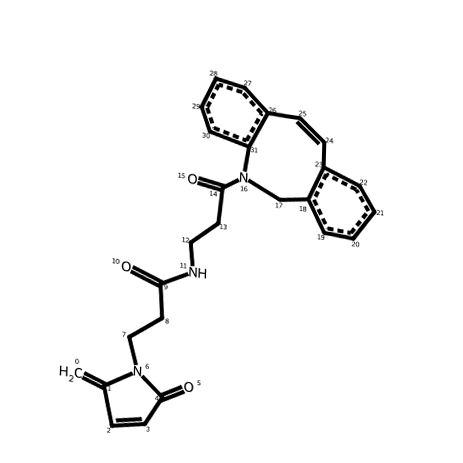 C=C1C=CC(=O)N1CCC(=O)NCCC(=O)N1Cc2ccccc2/C=C\c2ccccc21